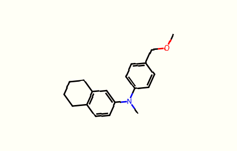 COCc1ccc(N(C)c2ccc3c(c2)CCCC3)cc1